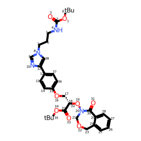 CC(C)(C)OC(=O)NCCCn1cnc(-c2ccc(OC[C@H](ON3COCc4ccccc4C3=O)C(=O)OC(C)(C)C)cc2)c1